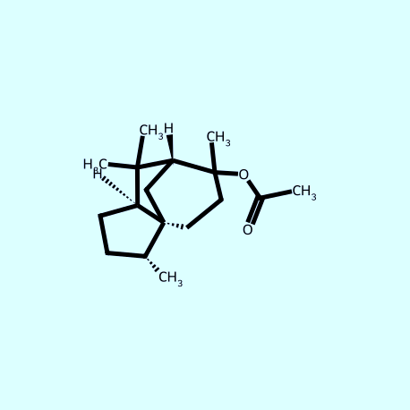 CC(=O)OC1(C)CC[C@@]23C[C@@H]1C(C)(C)[C@@H]2CC[C@H]3C